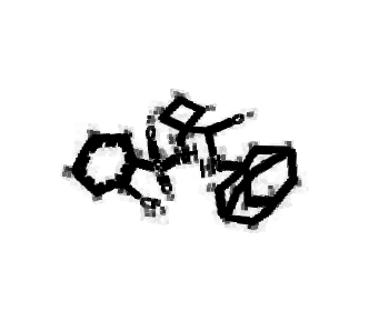 O=C(NC12CC3CC(CC(C3)C1)C2)C1(NS(=O)(=O)c2ccccc2C(F)(F)F)CCC1